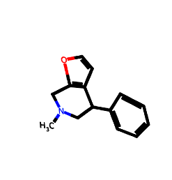 CN1Cc2occc2C(c2ccccc2)C1